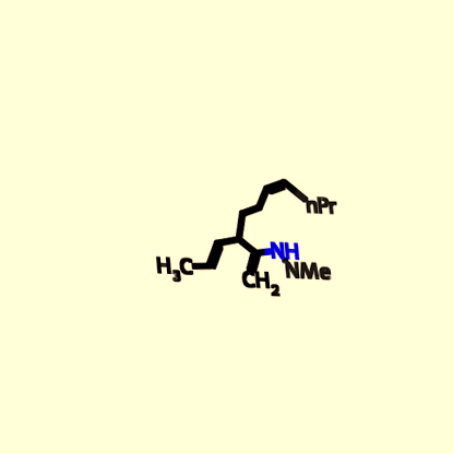 C=C(NNC)C(C=CC)CC/C=C\CCC